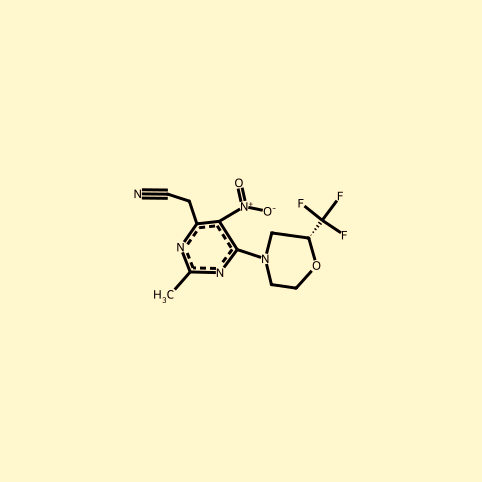 Cc1nc(CC#N)c([N+](=O)[O-])c(N2CCO[C@@H](C(F)(F)F)C2)n1